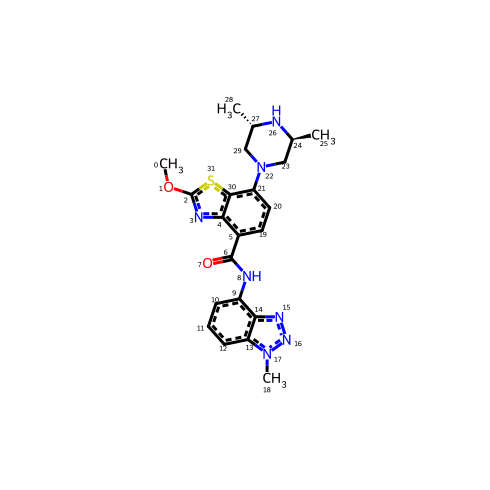 COc1nc2c(C(=O)Nc3cccc4c3nnn4C)ccc(N3C[C@H](C)N[C@@H](C)C3)c2s1